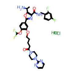 CC(N)c1oc(-c2ccc(OC(F)F)c(OCCCCC(=O)N3CCN(c4ncccn4)CC3)c2)nc1C(=O)NCc1ccc(F)cc1F.Cl.Cl